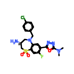 CN(C)c1nnc(-c2cc3c(cc2F)S(=O)(=O)C[C@H](N)CN3Cc2ccc(Cl)cc2)o1